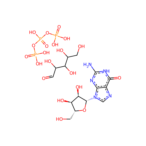 Nc1nc2c(ncn2[C@@H]2O[C@H](CO)[C@@H](O)[C@H]2O)c(=O)[nH]1.O=CC(O)C(O)C(O)CO.O=P(O)(O)OP(=O)(O)OP(=O)(O)O